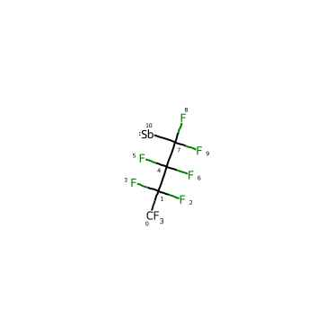 FC(F)(F)C(F)(F)C(F)(F)[C](F)(F)[Sb]